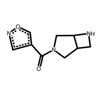 O=C(c1cnoc1)N1CC2CNC2C1